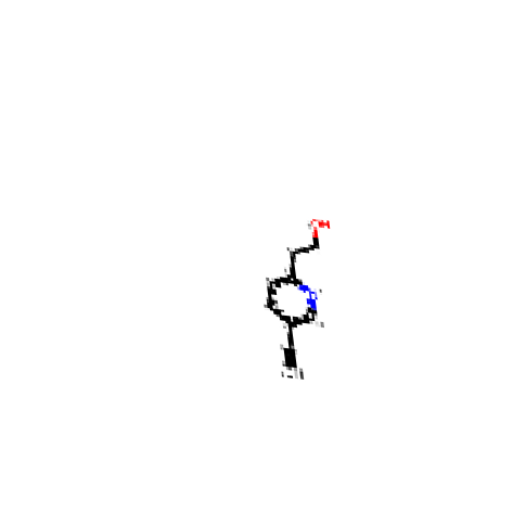 C#Cc1ccc(CCO)nc1